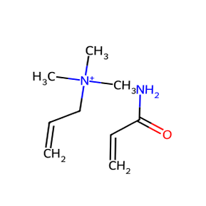 C=CC(N)=O.C=CC[N+](C)(C)C